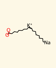 O=C([O-])CCCCCCC/C=C\CCCCCC[CH2][Na].[K+]